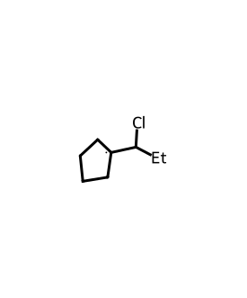 CCC(Cl)[C]1CCCC1